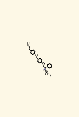 CO/N=C(/COc1ccc(COc2ccc(CCC=O)cc2)cc1)c1ccccc1